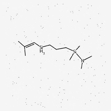 CC(C)=C[SiH2]CCC[Si](C)(C)N(C)C